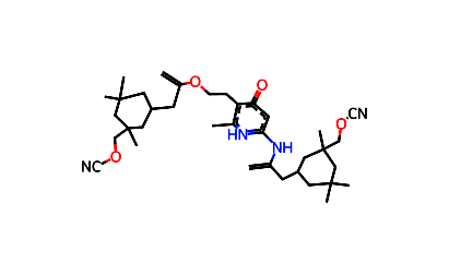 C=C(CC1CC(C)(C)CC(C)(COC#N)C1)Nc1cc(=O)c(CCOC(=C)CC2CC(C)(C)CC(C)(COC#N)C2)c(C)[nH]1